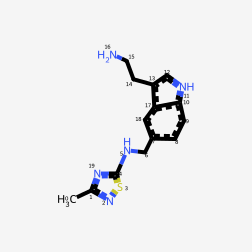 Cc1nsc(NCc2ccc3[nH]cc(CCN)c3c2)n1